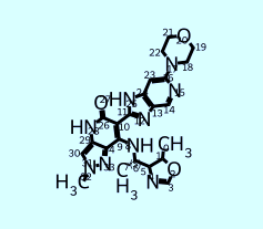 CC1OC=NC1[C@H](C)Nc1c(-c2nc3cnc(N4CCOCC4)cc3[nH]2)c(=O)[nH]c2cn(C)nc12